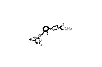 COCC(=O)N1CCN(c2cccc(COC(=O)NC(=N)N)c2F)CC1